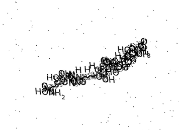 C[C@H]1OC(O[C@@H]2[C@@H](C)OCC[C@@]2(O)O[C@H]2[C@@H](O)CC(O[C@@H]3CC[C@@]4(C)[C@H](CCC5[C@@H]4C[C@@H](O)[C@]4(C)[C@@H](C6=CC(=O)OC6)CC[C@]54O)C3)O[C@@H]2C)C[C@H](O)[C@@H]1OCCCCCC(=O)Nc1ncnc2c1ncn2C1O[C@H](CSCC[C@H](N)C(=O)O)[C@@H](O)C1O